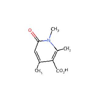 Cc1cc(=O)n(C)c(C)c1C(=O)O